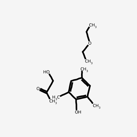 CC(=O)CO.CCOCC.Cc1cc(C)c(O)c(C)c1